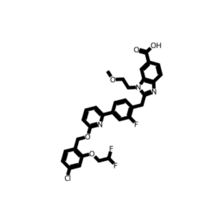 COCCn1c(Cc2ccc(-c3cccc(OCc4ccc(Cl)cc4OCC(F)F)n3)cc2F)nc2ccc(C(=O)O)cc21